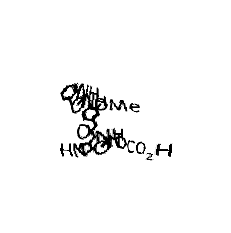 COc1cc(CC(=O)C(NC(=O)N2CCC(C(=O)O)CC2)C2CCNC2)ccc1NC(=O)Nc1ccccc1C